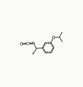 CC(C)Oc1cccc(C(F)N=C=O)c1